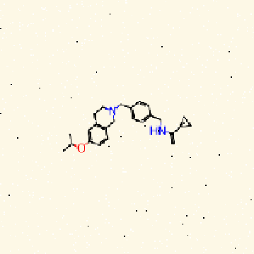 C=C(NCc1ccc(CN2CCc3cc(OC(C)C)ccc3C2)cc1)C1CC1